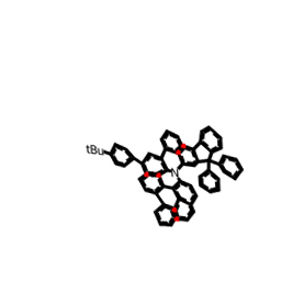 CC(C)(C)c1ccc(-c2ccc(N(c3ccc4c(c3)C(c3ccccc3)(c3ccccc3)c3ccccc3-4)c3ccc4ccccc4c3-c3ccccc3-c3ccccc3)c(-c3ccccc3)c2)cc1